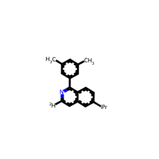 [2H]c1cc2cc(C(C)C)ccc2c(-c2cc(C)cc(C)c2)n1